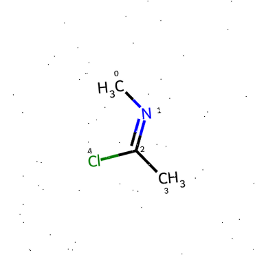 CN=C(C)Cl